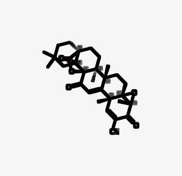 CC1(C)CC[C@@]23CC[C@@]4(C)[C@]5(C)CC[C@@]67O[C@]6(C)C(=O)C(C#N)=C[C@]7(C)C5=CC(=O)[C@]4(OC2=O)[C@@H]3C1